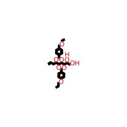 C=CCC1OC(c2ccc(COCC)cc2)OC2C(C(O)CO)OC(c3ccc(OCCC)cc3)OC12